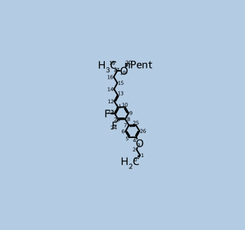 C=CCOc1ccc(-c2ccc(C=CCCCC(C)OCCCCC)c(F)c2F)cc1